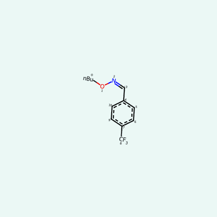 CCCCO/N=[C]\c1ccc(C(F)(F)F)cc1